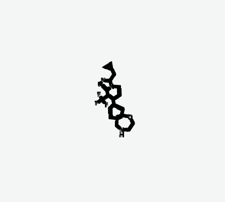 FC(F)(F)c1c(-c2ccc3c(c2)OCCNC3)ccn2c(CC3CC3)nnc12